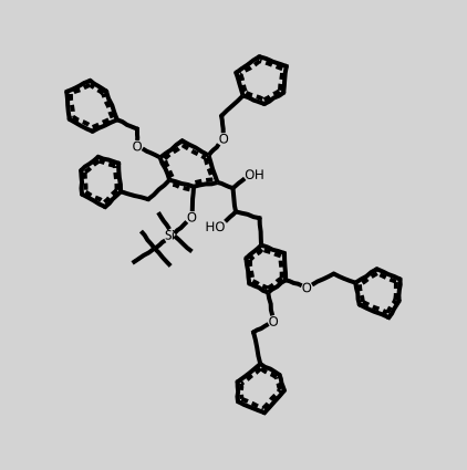 CC(C)(C)[Si](C)(C)Oc1c(Cc2ccccc2)c(OCc2ccccc2)cc(OCc2ccccc2)c1C(O)C(O)Cc1ccc(OCc2ccccc2)c(OCc2ccccc2)c1